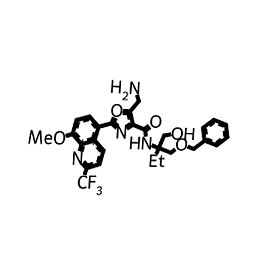 CCC(CO)(COCc1ccccc1)NC(=O)c1nc(-c2ccc(OC)c3nc(C(F)(F)F)ccc23)oc1CN